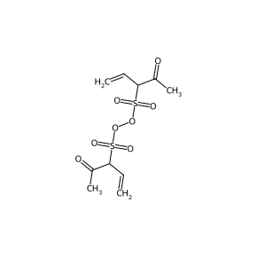 C=CC(C(C)=O)S(=O)(=O)OOS(=O)(=O)C(C=C)C(C)=O